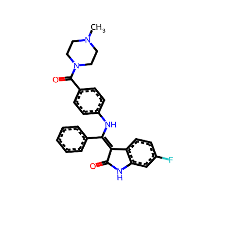 CN1CCN(C(=O)c2ccc(NC(=C3C(=O)Nc4cc(F)ccc43)c3ccccc3)cc2)CC1